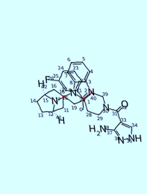 Cc1nc2ccccc2n1C1C[C@H]2CC[C@@H](C1)N2CCC1(c2cccc(F)c2)CCN(C(=O)c2c[nH]nc2N)CC1